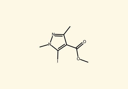 COC(=O)c1c(C)nn(C)c1I